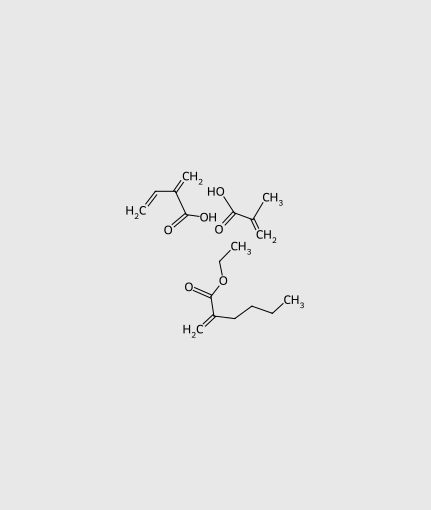 C=C(C)C(=O)O.C=C(CCCC)C(=O)OCC.C=CC(=C)C(=O)O